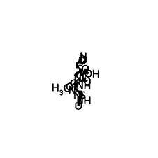 CO/N=C(\C(=O)NC1C(=O)N2C(C(=O)O)=C(S/C=C\c3cccnc3)CS[C@H]12)c1csc(NC=O)n1